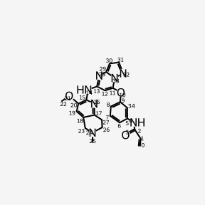 C=CC(=O)Nc1cccc(Oc2cc(Nc3nc4c(cc3OC)CN(C)CC4)nc3ccnn23)c1